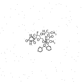 CC(C)OC(=O)[C@H](C)NP(=O)(OC[C@H]1O[C@@H](n2ccc(=O)[nH]c2=O)[C@](C)(F)[C@@H]1O)Oc1ccccc1Cc1ccccc1